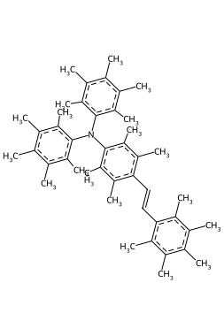 Cc1c(C)c(C)c(/C=C/c2c(C)c(C)c(N(c3c(C)c(C)c(C)c(C)c3C)c3c(C)c(C)c(C)c(C)c3C)c(C)c2C)c(C)c1C